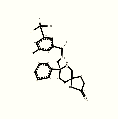 Cc1cc([C@H](C)OC[C@]2(c3ccccc3)CC[C@]3(CCC(=O)N3)CN2)cc(C(F)(F)F)c1